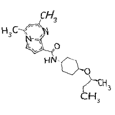 CC[C@H](C)O[C@H]1CC[C@H](NC(=O)c2ccn3c(C)cc(C)nc23)CC1